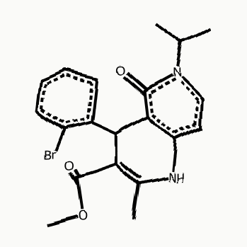 COC(=O)C1=C(C)Nc2ccn(C(C)C)c(=O)c2C1c1ccccc1Br